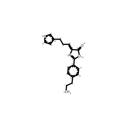 CCCc1ccc(C2=N/C(=C\CCc3ccsc3)C(=O)O2)cc1